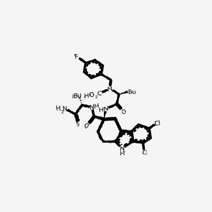 CCC(C)[C@H](NC(=O)[C@@]1(NC(=O)[C@H](C(C)CC)N(Cc2ccc(F)cc2)C(=O)O)CCc2[nH]c3c(Cl)cc(Cl)cc3c2C1)C(N)=S